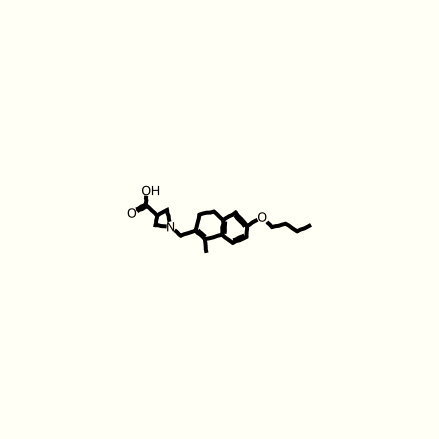 CCCCOc1ccc2c(c1)CCC(CN1CC(C(=O)O)C1)=C2C